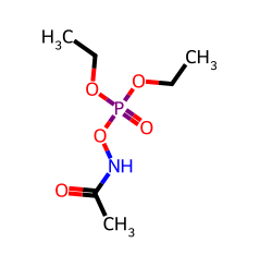 CCOP(=O)(OCC)ONC(C)=O